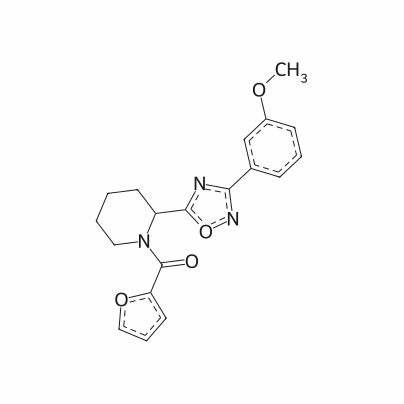 COc1cccc(-c2noc(C3CCCCN3C(=O)c3ccco3)n2)c1